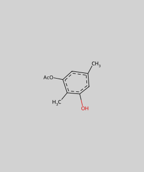 CC(=O)Oc1cc(C)cc(O)c1C